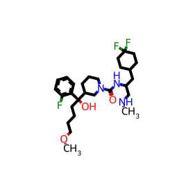 CNCC(CC1CCC(F)(F)CC1)NC(=O)N1CCCC(C(O)(CCCCOC)c2ccccc2F)C1